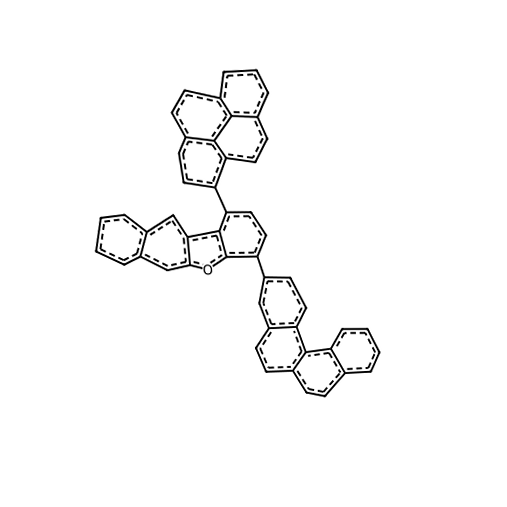 c1ccc2cc3c(cc2c1)oc1c(-c2ccc4c(ccc5ccc6ccccc6c54)c2)ccc(-c2ccc4ccc5cccc6ccc2c4c56)c13